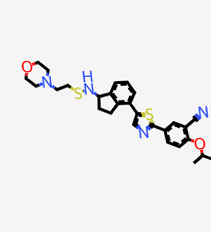 CC(C)Oc1ccc(-c2ncc(-c3cccc4c3CCC4NSCCN3CCOCC3)s2)cc1C#N